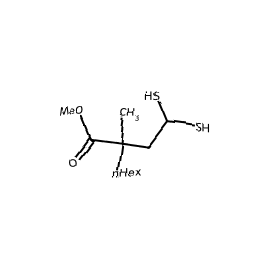 CCCCCCC(C)(CC(S)S)C(=O)OC